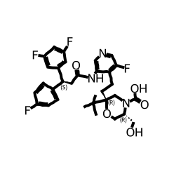 CC(C)(C)[C@]1(CCc2c(F)cncc2NC(=O)C[C@@H](c2ccc(F)cc2)c2cc(F)cc(F)c2)CN(C(=O)O)[C@H](CO)CO1